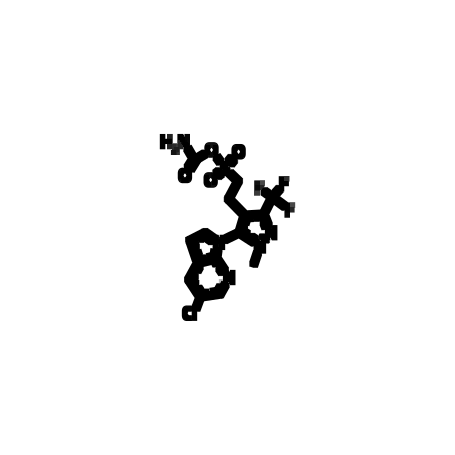 Cn1nc(C(F)(F)F)c(CCS(=O)(=O)OC(N)=O)c1-n1ccc2cc(Cl)cnc21